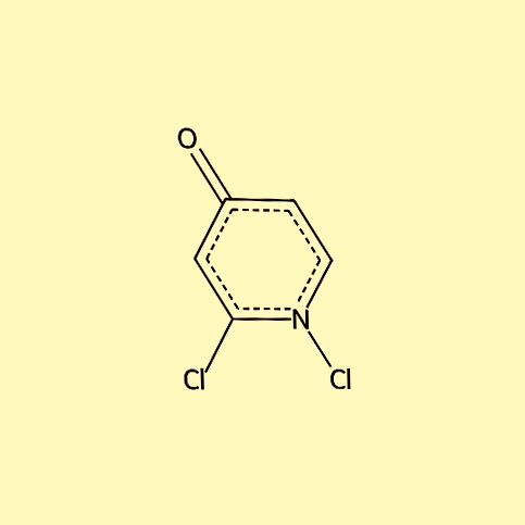 O=c1ccn(Cl)c(Cl)c1